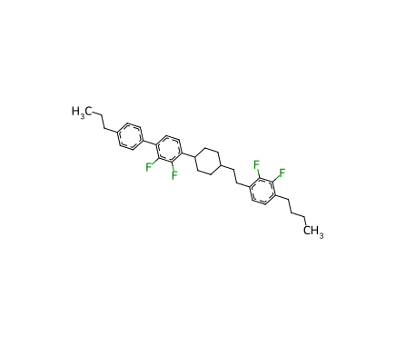 CCCCc1ccc(CCC2CCC(c3ccc(-c4ccc(CCC)cc4)c(F)c3F)CC2)c(F)c1F